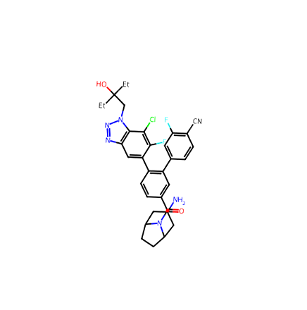 CCC(O)(CC)Cn1nnc2cc(-c3ccc(C(=O)N4C5CCC4CC(N)C5)cc3-c3ccc(C#N)c(F)c3)c(F)c(Cl)c21